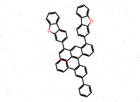 c1ccc(-c2ccc(-c3c4cccc(-c5ccc6c(c5)oc5ccccc56)c4cc4c(-c5ccc6c(c5)oc5ccccc56)cccc34)c(-c3ccccc3)c2)cc1